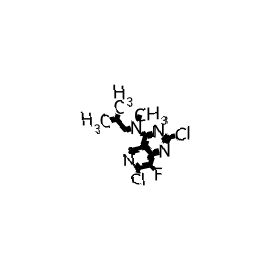 CC(C)CN(C)c1nc(Cl)nc2c(F)c(Cl)ncc12